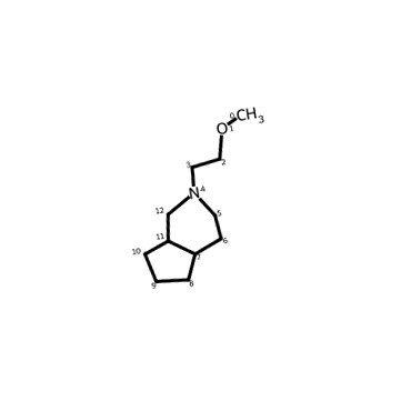 COCCN1CCC2CCCC2C1